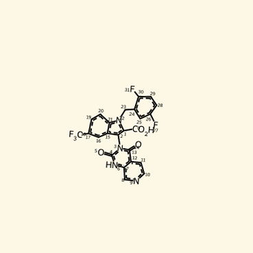 O=C(O)c1c(-n2c(=O)[nH]c3cnccc3c2=O)c2cc(C(F)(F)F)ccc2n1Cc1cc(F)ccc1F